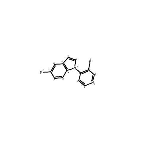 Fc1cnccc1-n1ccc2cc(Br)ccc21